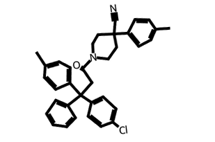 Cc1ccc(C2(C#N)CCN(C(=O)CC(c3ccccc3)(c3ccc(C)cc3)c3ccc(Cl)cc3)CC2)cc1